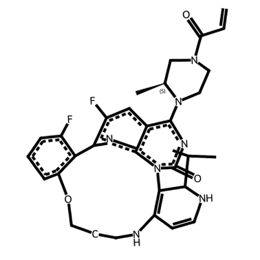 C=CC(=O)N1CCN(c2nc(=O)n3c4nc(c(F)cc24)-c2c(F)cccc2OCCCNC2=C3C(C(C)C)NC=C2)[C@@H](C)C1